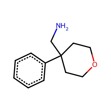 NCC1(c2ccccc2)CCOCC1